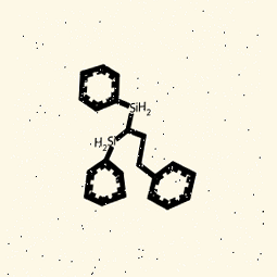 c1ccc(CCC([SiH2]c2ccccc2)[SiH2]c2ccccc2)cc1